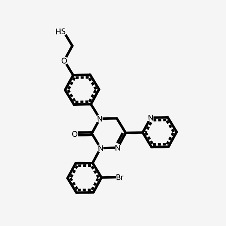 O=C1N(c2ccc(OCS)cc2)CC(c2ccccn2)=NN1c1ccccc1Br